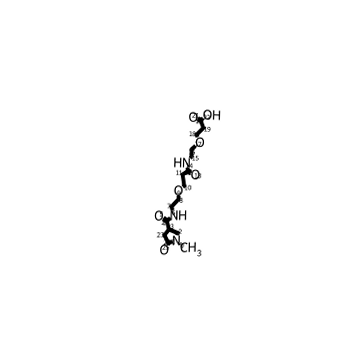 CN1CC(C(=O)NCCOCCC(=O)NCCOCCC(=O)O)CC1=O